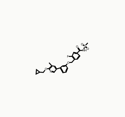 Cc1cc(-c2cccc(OCc3ccc(C(=O)NS(C)(=O)=O)cc3F)c2)cnc1OCC1CC1